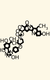 CCc1c2c(nc3ccc(O)cc13)-c1cc3c(c(=O)n1C2)COC(=O)[C@H]3OC(=O)N1CCC(Oc2ccc(-n3c(O)nnc3-c3cc(C(C)C)c(O)cc3O)cc2)CC1